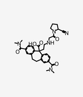 CN(C)C(=O)c1ccc2c(c1)CCc1cc(C(=O)N(C)C)ccc1C2(CCNCC(=O)N1CCCC1C#N)C(=O)O